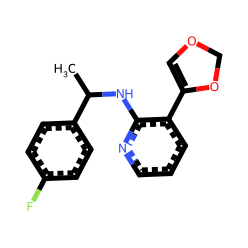 CC(Nc1ncccc1C1=COCO1)c1ccc(F)cc1